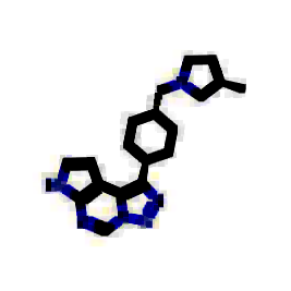 C[C@@H]1CCN(C[C@H]2CC[C@H](c3nnn4cnc5[nH]ccc5c34)CC2)C1